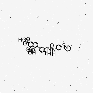 O=C(NCc1cc(-c2ccc3cc(S(=O)(=O)O)cc(S(=O)(=O)O)c3c2)ccc1F)Nc1ccc(SN2CCCCC2)cc1